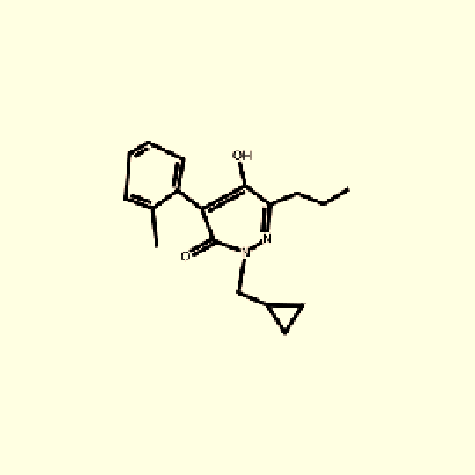 CCCc1nn(CC2CC2)c(=O)c(-c2ccccc2C)c1O